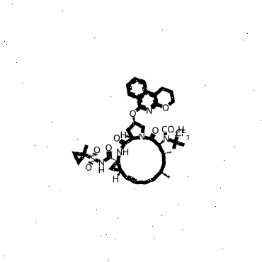 C[C@H]1CCC=C[C@@H]2C[C@@]2(C(=O)NS(=O)(=O)C2(C)CC2)NC(=O)[C@@H]2C[C@@H](Oc3nc4c(c5ccccc35)CCCO4)CN2C(=O)[C@@H](N(C(=O)O)C(C)(C)C(F)(F)F)[C@H](C)C1